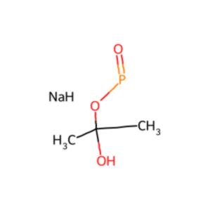 CC(C)(O)OP=O.[NaH]